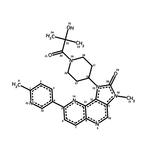 Cc1ccc(-c2ccc3ncc4c(c3n2)n(C2CCN(C(=O)C(C)(C)O)CC2)c(=O)n4C)cn1